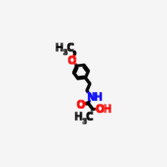 CCOc1ccc(CCNC(=O)[C@@H](C)O)cc1